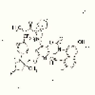 C#Cc1c(F)ccc2cc(O)cc(N3Cc4nc(OC[C@]5(C)C[C@@H](F)CN5c5ccc(C(F)(F)F)nc5)nc(NCC5(N(C)C(=O)C=C)CCCC5)c4OC3=O)c12